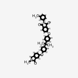 Cc1cccc(N2C(=O)c3ccc(Oc4ccc(C(C)(C)c5ccc(Oc6ccc7c(c6)C(=O)N(C)C7)cc5)cc4)cc3C2=O)c1